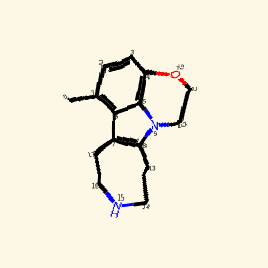 Cc1ccc2c3c1c1c(n3CCO2)CCNCC1